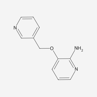 Nc1ncccc1OCc1cccnc1